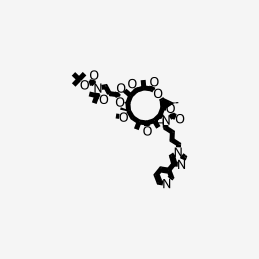 CO[C@@]1(C)CC(C)C(=O)C(C)[C@H]2N(CCCCn3cnc(-c4cccnc4)c3)C(=O)OC23C(OC(=O)C(C)C(=O)C(C)[C@H]1OC(=O)C1CN(C(=O)OC(C)(C)C)C(C)(C)O1)[C@@H]3C